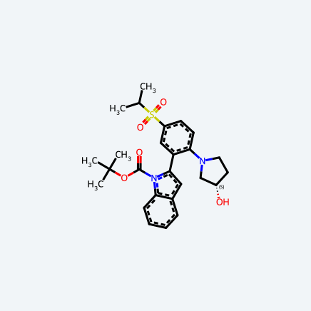 CC(C)S(=O)(=O)c1ccc(N2CC[C@H](O)C2)c(-c2cc3ccccc3n2C(=O)OC(C)(C)C)c1